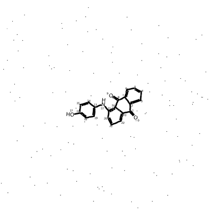 O=C1c2ccccc2C(=O)c2c(Nc3ccc(O)cc3)cccc21